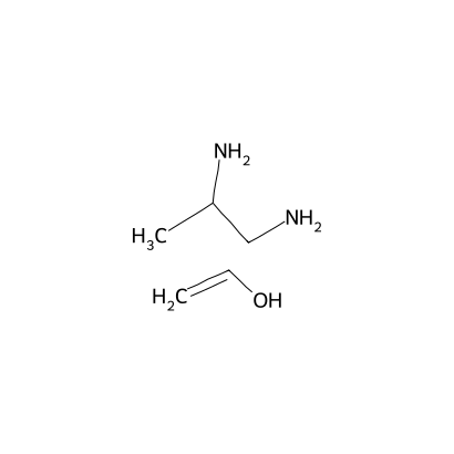 C=CO.CC(N)CN